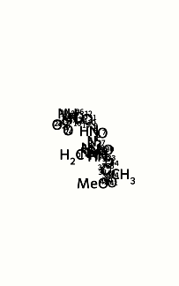 C=N/N=c1/nc(C(=O)NCc2ccc3c(c2)CN(c2c(N)c(=O)c2=O)CC3)cc(C(=O)N[C@H]2CCc3c2ccc(C(=O)OC)c3C)n1N